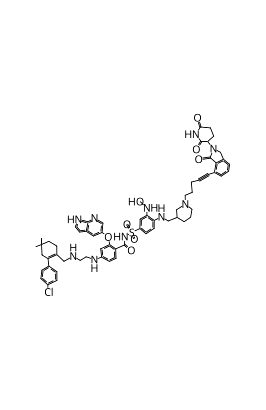 CC1(C)CCC(CNCCNc2ccc(C(=O)NS(=O)(=O)c3ccc(NCC4CCCN(CCCC#Cc5cccc6c5C(=O)N(C5CCC(=O)NC5=O)C6)C4)c(NO)c3)c(Oc3cnc4[nH]ccc4c3)c2)=C(c2ccc(Cl)cc2)C1